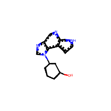 OC1CCCC(n2cnc3cnc4[nH]ccc4c32)C1